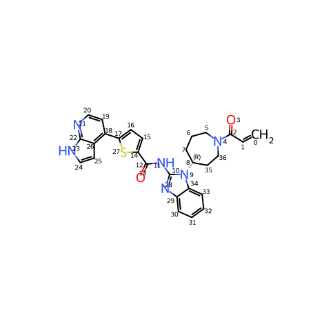 C=CC(=O)N1CCC[C@@H](n2c(NC(=O)c3ccc(-c4ccnc5[nH]ccc45)s3)nc3ccccc32)CC1